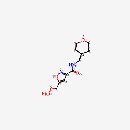 O=C(NCC1CCOCC1)c1cc(COO)on1